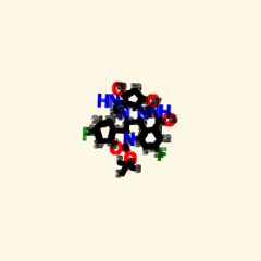 CC(C)(C)OC(=O)N1c2cc(F)cc3c(=O)[nH]nc(c23)C(N2CNC23CC(=O)CC3=O)C1c1ccc(F)cc1